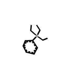 CC[B-](CC)(CC)c1ccccc1